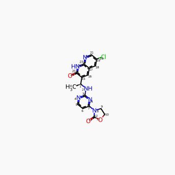 C[C@H](Nc1nccc(N2CCOC2=O)n1)c1cc2cc(Cl)cnc2[nH]c1=O